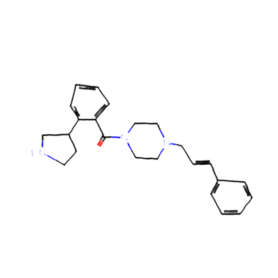 O=C(c1ccccc1C1CCNC1)N1CCN(CC=Cc2ccccc2)CC1